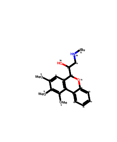 COc1cc2c(c(OC)c1OC)-c1ccccc1OC2C(O)CNC(C)(C)C